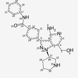 Nc1ncc(CO)c2c1c(-c1ccc(C(=O)Nc3ccccc3)cc1)nn2[C@@H]1CCCNC1